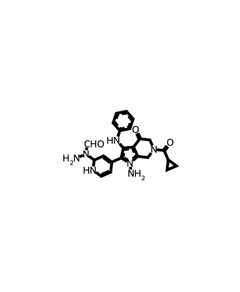 NN(C=O)C1C=C(c2c(Nc3ccccc3)c3c(n2N)CN(C(=O)C2CC2)CC3=O)C=CN1